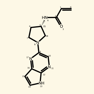 C=CC(=O)N[C@H]1CCN(c2cnc3[nH]ccc3n2)C1